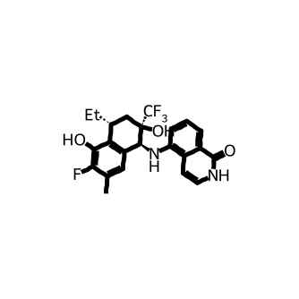 CC[C@@H]1C[C@](O)(C(F)(F)F)[C@@H](Nc2cccc3c(=O)[nH]ccc23)c2cc(C)c(F)c(O)c21